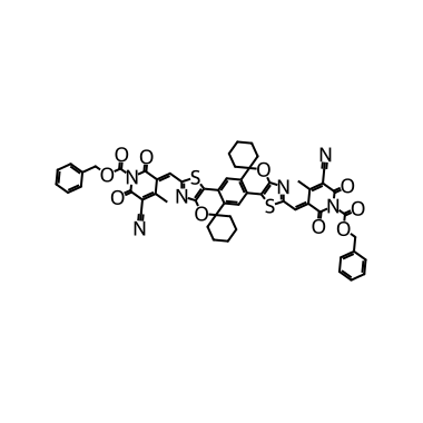 CC1=C(C#N)C(=O)N(C(=O)OCc2ccccc2)C(=O)/C1=C/c1nc2c(s1)-c1cc3c(cc1C1(CCCCC1)O2)-c1sc(/C=C2/C(=O)N(C(=O)OCc4ccccc4)C(=O)C(C#N)=C2C)nc1OC31CCCCC1